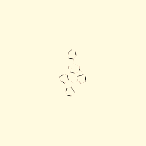 ClC1=NC(c2ccccc2)NC(c2cccc3c4ccccc4n(-c4ccccc4)c23)=C1